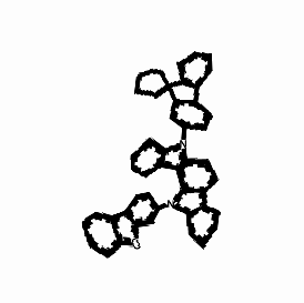 c1ccc2c(c1)-c1ccc(-n3c4ccccc4c4c3ccc3c5ccccc5n(-c5ccc6c(c5)oc5ccccc56)c34)cc1C21CCCC1